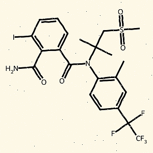 Cc1cc(C(F)(F)C(F)(F)F)ccc1N(C(=O)c1cccc(I)c1C(N)=O)C(C)(C)CS(C)(=O)=O